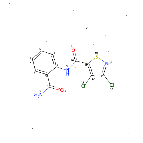 NC(=O)c1ccccc1NC(=O)c1snc(Cl)c1Cl